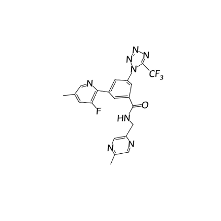 Cc1cnc(-c2cc(C(=O)NCc3cnc(C)cn3)cc(-n3nnnc3C(F)(F)F)c2)c(F)c1